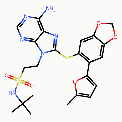 Cc1ccc(-c2cc3c(cc2Sc2nc4c(N)ncnc4n2CCS(=O)(=O)NC(C)(C)C)OCO3)o1